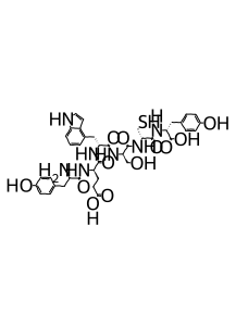 N[C@H](Cc1ccc(O)cc1)C(=O)N[C@H](CCC(=O)O)C(=O)N[C@H](Cc1cccc2[nH]ccc12)C(=O)N[C@H](CO)C(=O)N[C@H](CS)C(=O)N[C@H](Cc1ccc(O)cc1)C(=O)O